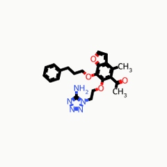 CC(=O)c1c(OCCn2nnnc2N)c(OCCCc2ccccc2)c2occc2c1C